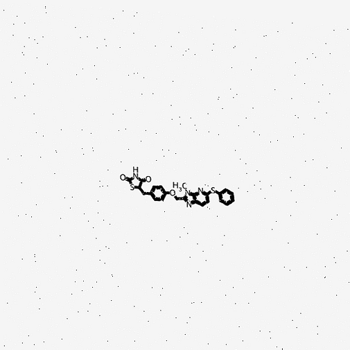 Cn1c(COc2ccc(CC3SC(=O)NC3=O)cc2)nc2ccc(Sc3ccccc3)nc21